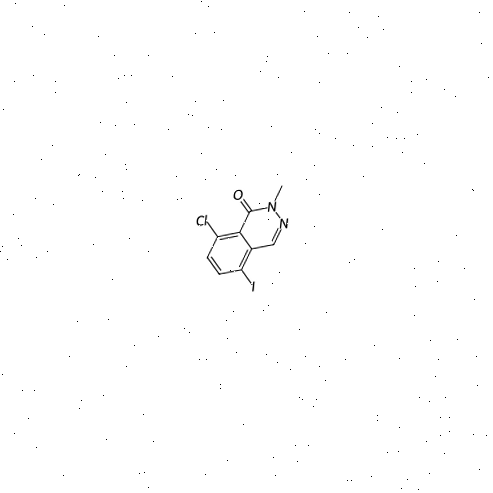 Cn1ncc2c(I)ccc(Cl)c2c1=O